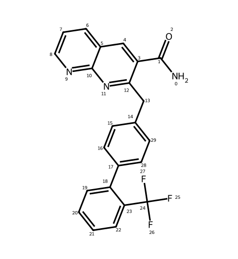 NC(=O)c1cc2cccnc2nc1Cc1ccc(-c2ccccc2C(F)(F)F)cc1